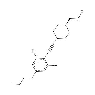 CCCCc1cc(F)c(C#C[C@H]2CC[C@H](C=CF)CC2)c(F)c1